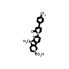 Cn1c2c(c3ccc(-n4ccc(-c5ccc(C(F)(F)F)cc5)cc4=O)nc31)CN(C(=O)O)CC2